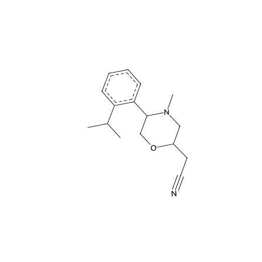 CC(C)c1ccccc1C1COC(CC#N)CN1C